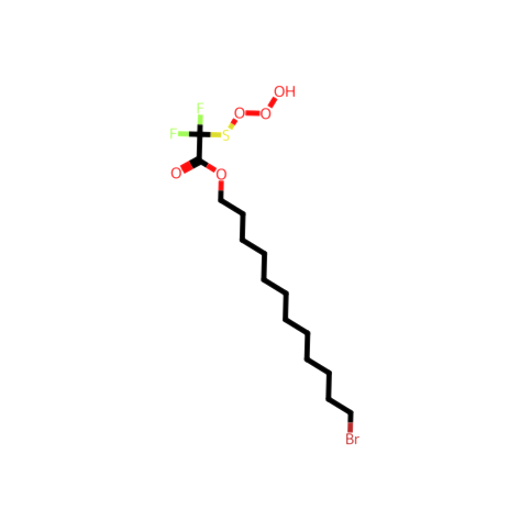 O=C(OCCCCCCCCCCCCBr)C(F)(F)SOOO